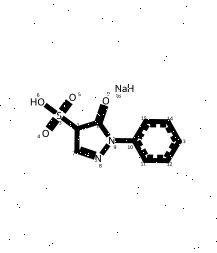 O=C1C(S(=O)(=O)O)C=NN1c1ccccc1.[NaH]